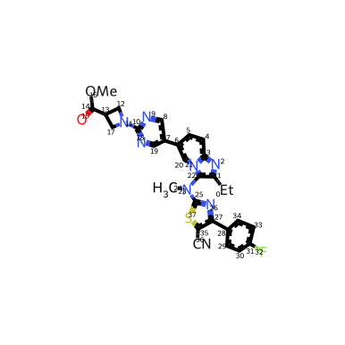 CCc1nc2ccc(-c3cnc(N4CC(C(=O)OC)C4)nc3)cn2c1N(C)c1nc(-c2ccc(F)cc2)c(C#N)s1